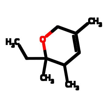 CCC1(C)OCC(C)=CC1C